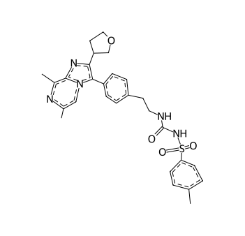 Cc1ccc(S(=O)(=O)NC(=O)NCCc2ccc(-c3c(C4CCOC4)nc4c(C)nc(C)cn34)cc2)cc1